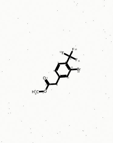 COC(=O)Cc1ccc(C(F)(F)F)c(Br)c1